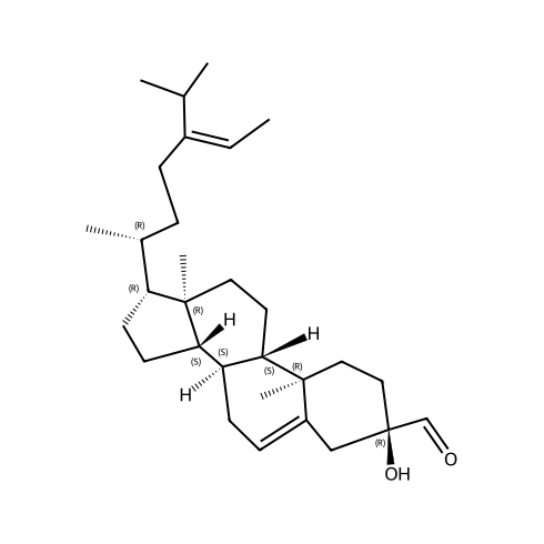 CC=C(CC[C@@H](C)[C@H]1CC[C@H]2[C@@H]3CC=C4C[C@@](O)(C=O)CC[C@]4(C)[C@H]3CC[C@]12C)C(C)C